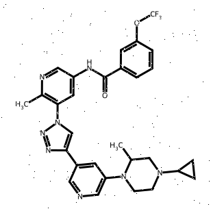 Cc1ncc(NC(=O)c2cccc(OC(F)(F)F)c2)cc1-n1cc(-c2cncc(N3CCN(C4CC4)CC3C)c2)nn1